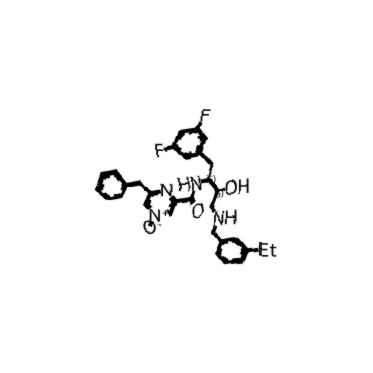 CCc1cccc(CNC[C@H](O)[C@H](Cc2cc(F)cc(F)c2)NC(=O)c2c[n+]([O-])cc(Cc3ccccc3)n2)c1